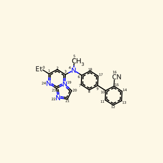 CCc1cc(N(C)c2ccc(-c3ccccc3C#N)cc2)n2ccnc2n1